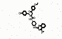 CCOc1ccc(C(=O)CC(SCc2ccc(Cl)cc2)C(=O)N[C@H]2CC[C@@H](Nc3nc(N(C)C)c4ccccc4n3)CC2)cc1